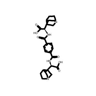 O=C(N[C@@H](C(=O)O)C1CN2CCC1CC2)c1ccc(C(=O)N[C@@H](C(=O)O)C2CN3CCC2CC3)cc1